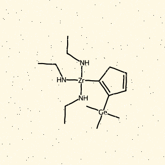 CC[NH][Zr]([NH]CC)([NH]CC)[C]1=[C]([Ge]([CH3])([CH3])[CH3])C=CC1